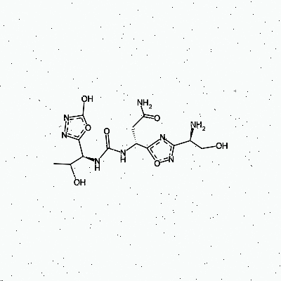 CC(O)[C@H](NC(=O)N[C@H](CC(N)=O)c1nc([C@@H](N)CO)no1)c1nnc(O)o1